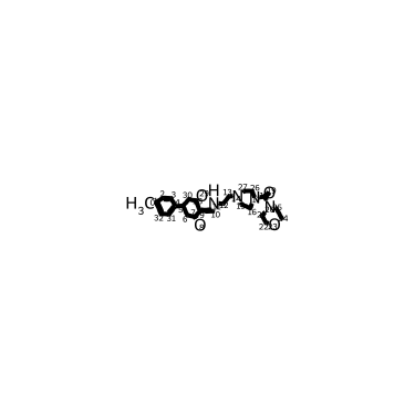 Cc1ccc(C2CC(=O)C(=CNCCN3CCN(C(=O)N4CCOCC4)CC3)C(=O)C2)cc1